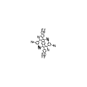 N#CC1=C(c2ccc(OC(F)(F)F)cc2)/C(=C(\C#N)c2cc(C#N)cc(C#N)c2)c2cc3c(cc21)/C(=C(/C#N)c1cc(C#N)cc(C#N)c1)C(c1ccc(OC(F)(F)F)cc1)=C3C#N